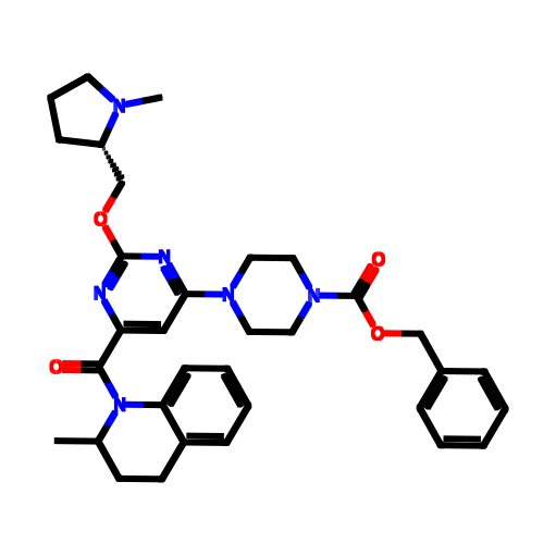 CC1CCc2ccccc2N1C(=O)c1cc(N2CCN(C(=O)OCc3ccccc3)CC2)nc(OC[C@@H]2CCCN2C)n1